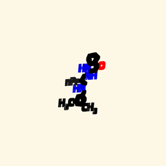 CCCC(CNCc1cc(C)cc(C)c1)CNc1cc(=O)c2ccccc2[nH]1